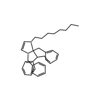 CCCCCCCCN1C=CN(Cc2ccccc2)C1(Cc1ccccc1)C(CC)c1ccccc1